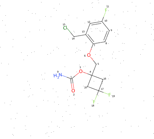 NC(=O)OC1(COc2ccc(F)cc2CCl)CC(F)(F)C1